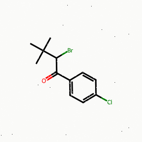 CC(C)(C)C(Br)C(=O)c1ccc(Cl)cc1